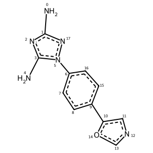 Nc1nc(N)n(-c2ccc(-c3cnco3)cc2)n1